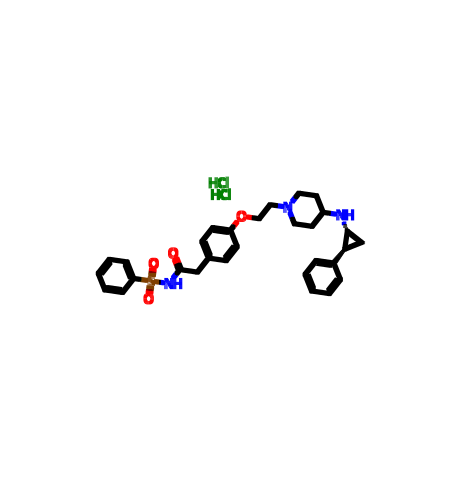 Cl.Cl.O=C(Cc1ccc(OCCN2CCC(N[C@@H]3C[C@H]3c3ccccc3)CC2)cc1)NS(=O)(=O)c1ccccc1